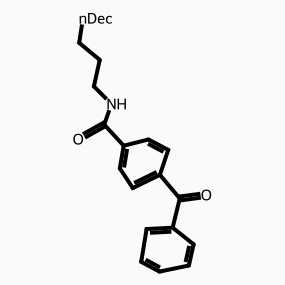 CCCCCCCCCCCCCNC(=O)c1ccc(C(=O)c2ccccc2)cc1